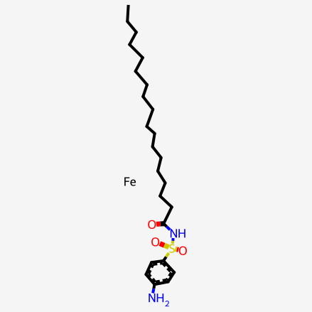 CCCCCCCCCCCCCCCCCC(=O)NS(=O)(=O)c1ccc(N)cc1.[Fe]